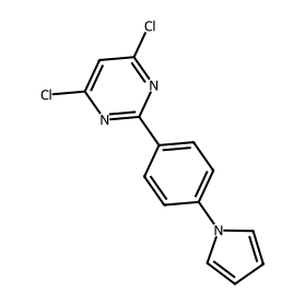 Clc1cc(Cl)nc(-c2ccc(-n3cccc3)cc2)n1